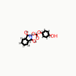 O=C(Oc1ccc(O)cc1)ON1C(=O)c2ccccc2C1=O